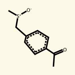 CC(=O)c1ccc(C[S+](C)[O-])cc1